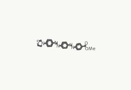 COC(=O)c1ccc(N=Nc2ccc(N=Nc3ccc(N4CCSC4)cc3)cc2)cc1